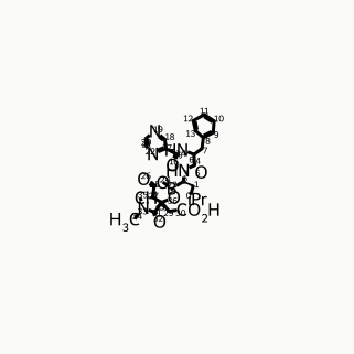 CC(C)C[C@H](NC(=O)C(Cc1ccccc1)NC(=O)c1cnccn1)B1OC(=O)CC(CC(=O)O)(C(=O)N(C)C)O1